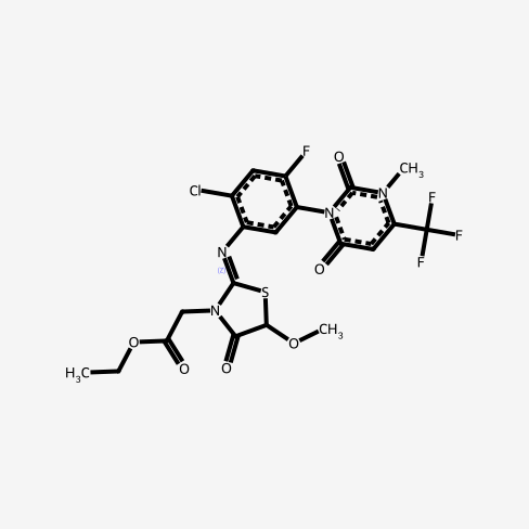 CCOC(=O)CN1C(=O)C(OC)S/C1=N\c1cc(-n2c(=O)cc(C(F)(F)F)n(C)c2=O)c(F)cc1Cl